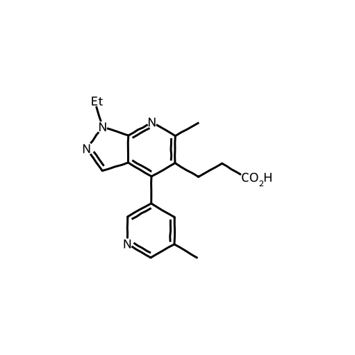 CCn1ncc2c(-c3cncc(C)c3)c(CCC(=O)O)c(C)nc21